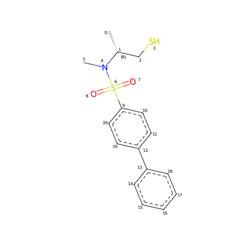 C[C@H](CS)N(C)S(=O)(=O)c1ccc(-c2ccccc2)cc1